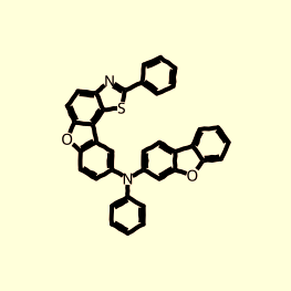 c1ccc(-c2nc3ccc4oc5ccc(N(c6ccccc6)c6ccc7c(c6)oc6ccccc67)cc5c4c3s2)cc1